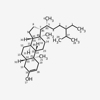 CCC(CC[C@@H](C)[C@H]1CC[C@H]2[C@@H]3CC[C@H]4CC(O)=CC[C@]4(C)[C@H]3CC[C@]12C)C(C)C